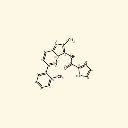 Cc1nc2ccc(-c3ccccc3C(F)(F)F)nn2c1NC(=O)c1nccs1